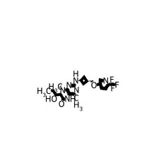 CC[C@@H](O)C1C(=O)Nc2c(C)nc(N[C@H]3C[C@@H](COc4ccc(C(F)(F)F)nc4)C3)nc2N1C